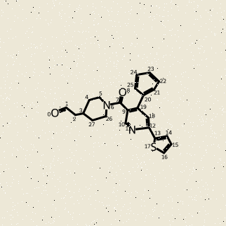 O=CCC1CCN(C(=O)c2cnc(-c3cccs3)cc2-c2ccccc2)CC1